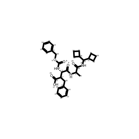 CC(NC(=O)[C@@H](NC(=O)OCc1ccccc1)C(Cc1ccccc1)C(=O)O)C(=O)NC(C1CCC1)C1CCC1